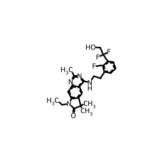 CCN1C(=O)C(C)(C)c2cc3c(NCCc4cccc(C(F)(F)CO)c4F)nc(C)nc3cc21